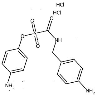 Cl.Cl.Nc1ccc(CNC(=O)S(=O)(=O)Oc2ccc(N)cc2)cc1